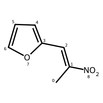 CC(=Cc1ccco1)[N+](=O)[O-]